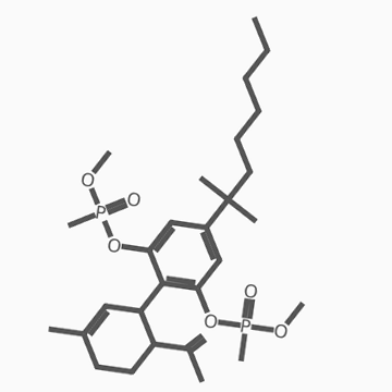 C=C(C)C1CCC(C)=CC1c1c(OP(C)(=O)OC)cc(C(C)(C)CCCCCC)cc1OP(C)(=O)OC